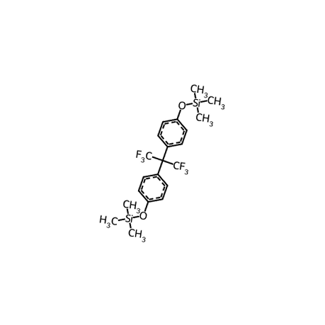 C[Si](C)(C)Oc1ccc(C(c2ccc(O[Si](C)(C)C)cc2)(C(F)(F)F)C(F)(F)F)cc1